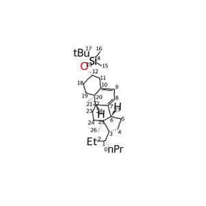 CCC[C@H](CC)[C@H]1CC[C@H]2C3=CC=C4C[C@@H](O[Si](C)(C)C(C)(C)C)CC[C@]4(C)[C@H]3CC[C@]12C